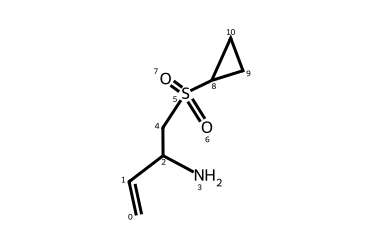 C=CC(N)CS(=O)(=O)C1CC1